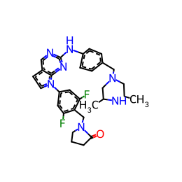 CC1CN(Cc2ccc(Nc3ncc4ccn(-c5cc(F)c(CN6CCCC6=O)c(F)c5)c4n3)cc2)CC(C)N1